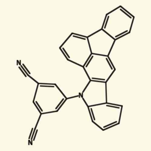 N#Cc1cc(C#N)cc(-n2c3ccccc3c3cc4c5c(cccc5c32)-c2ccccc2-4)c1